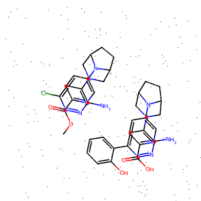 COC(=O)c1ccc(N2C3CCC2CN(c2cc(Cl)nnc2N)C3)cn1.Nc1nnc(-c2ccccc2O)cc1N1CC2CCC(C1)N2c1ccc(C(=O)O)nc1